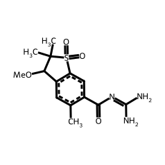 COC1c2cc(C)c(C(=O)N=C(N)N)cc2S(=O)(=O)C1(C)C